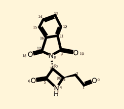 O=CC[C@H]1NC(=O)[C@@H]1N1C(=O)c2ccccc2C1=O